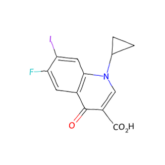 O=C(O)c1cn(C2CC2)c2cc(I)c(F)cc2c1=O